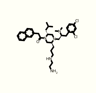 CC(C)C[C@@H]1CN(C[C@H](Cc2ccc(Cl)cc2Cl)N(C)C)[C@@H](CCCNCCN)CN1C(=O)Cc1ccc2ccccc2c1